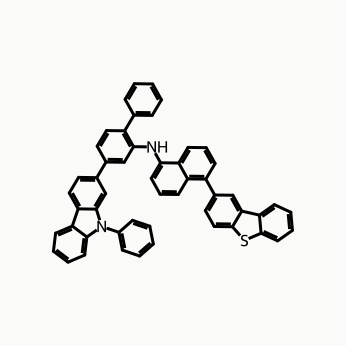 c1ccc(-c2ccc(-c3ccc4c5ccccc5n(-c5ccccc5)c4c3)cc2Nc2cccc3c(-c4ccc5sc6ccccc6c5c4)cccc23)cc1